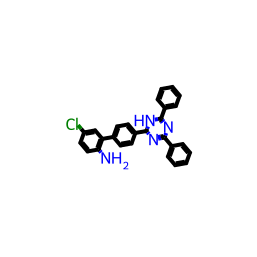 Nc1ccc(Cl)cc1-c1ccc(C2N=C(c3ccccc3)N=C(c3ccccc3)N2)cc1